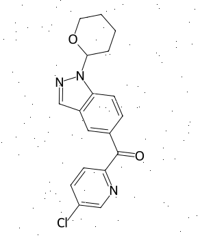 O=C(c1ccc2c(cnn2C2CCCCO2)c1)c1ccc(Cl)cn1